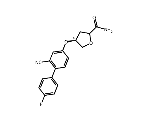 N#Cc1cc(O[C@H]2[CH]C(C(N)=O)OC2)ccc1-c1ccc(F)cc1